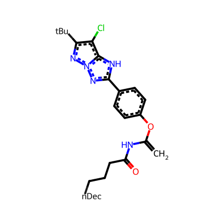 C=C(NC(=O)CCCCCCCCCCCCC)Oc1ccc(-c2nn3nc(C(C)(C)C)c(Cl)c3[nH]2)cc1